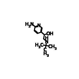 CC(C)(C)NC[C@H](O)c1ccc(N)nc1